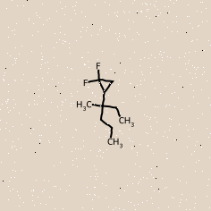 CCCC(C)(CC)C1CC1(F)F